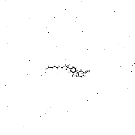 CCCCCCCCC(C)(C)c1ccc([C@@H]2CCC[C@H](O)C2)c(O)c1